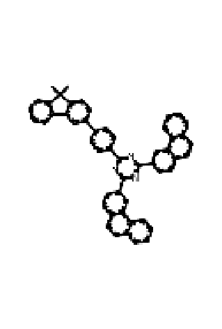 CC1(C)c2ccccc2-c2cc(-c3ccc(-c4nc(-c5ccc6ccc7ccccc7c6c5)nc(-c5ccc6ccc7ccccc7c6c5)n4)cc3)ccc21